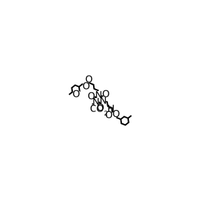 CC1CCCC(COC(=O)CCCn2c(=O)n(CCCC(=O)OCC3CCC(C)OC3)c(=O)n(CC(=O)O)c2=O)C1